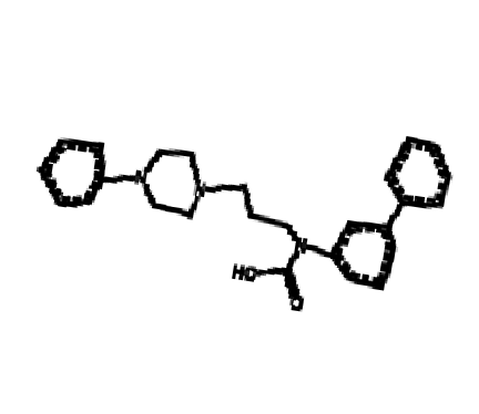 O=C(O)N(CCCN1CCN(c2ccccc2)CC1)c1cccc(-c2ccccc2)c1